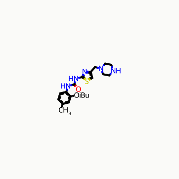 Cc1ccc(NC(=O)Nc2nc(CN3CCNCC3)cs2)c(OCC(C)C)c1